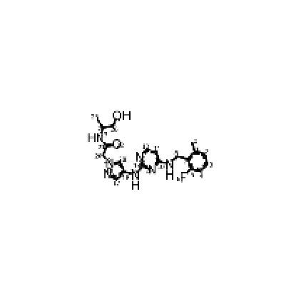 Cc1cccc(F)c1CNc1ccnc(Nc2cnn(CC(=O)NC(C)CO)c2)n1